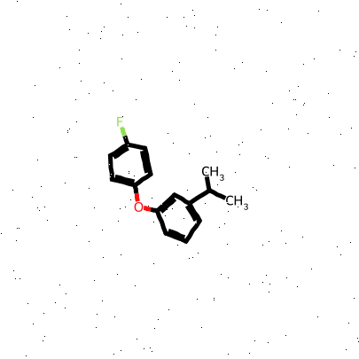 CC(C)c1cccc(Oc2ccc(F)cc2)c1